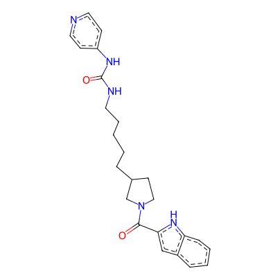 O=C(NCCCCCC1CCN(C(=O)c2cc3ccccc3[nH]2)C1)Nc1ccncc1